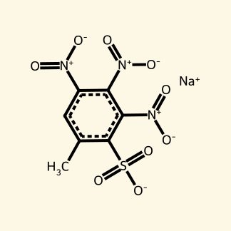 Cc1cc([N+](=O)[O-])c([N+](=O)[O-])c([N+](=O)[O-])c1S(=O)(=O)[O-].[Na+]